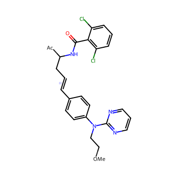 COCCN(c1ccc(/C=C/CC(NC(=O)c2c(Cl)cccc2Cl)C(C)=O)cc1)c1ncccn1